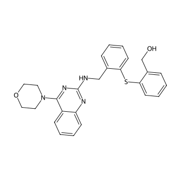 OCc1ccccc1Sc1ccccc1CNc1nc(N2CCOCC2)c2ccccc2n1